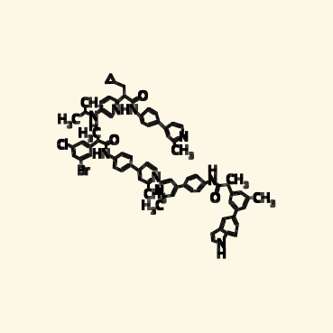 Cc1cc(-c2ccc(NC(=O)C(C)c3cc(Cl)cc(Br)c3)cc2)ccn1.Cc1cc(-c2ccc(NC(=O)C(CC3CC3)c3ccc(NC(C)C)cn3)cc2)ccn1.Cc1cc(-c2ccc3[nH]ccc3c2)cc(C(C)C(=O)Nc2ccc(-c3ccnc(C)c3)cc2)c1